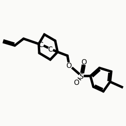 C=CCC12CCC(COS(=O)(=O)c3ccc(C)cc3)(CC1)CC2